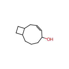 OC1/C=C\CC2CCC2CCC1